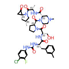 Cc1cccc(C[C@H](NC(=O)Nc2ccc(Cl)c(F)c2)C(=O)N[C@@H](CO)C(=O)N2CCC[C@H]2C(=O)N2CCN(C)C[C@H]2C(=O)N[C@@H](C)C(=O)N2C[C@H](C)C[C@@]23CC3=O)c1